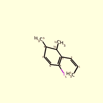 C/C=C\C1=C(I)C=CC(C)C1C